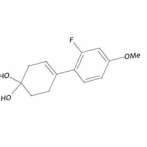 COc1ccc(C2=CCC(O)(O)CC2)c(F)c1